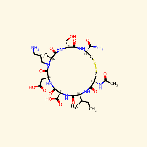 CCC(C)[C@@H]1NC(=O)[C@@H](NC(C)=O)CSSC[C@@H](C(N)=O)NC(=O)[C@@H](CO)NC(=O)[C@H](C)N(CCCN)C(=O)[C@H](CC(=O)O)NC(=O)[C@H](C(=O)O)NC1=O